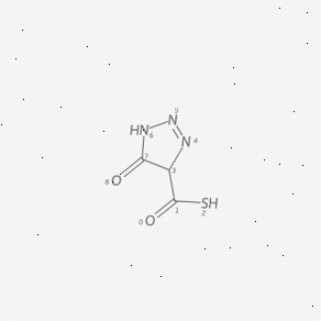 O=C(S)C1N=NNC1=O